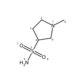 CN1CCC(S(N)(=O)=O)C1